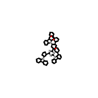 c1ccc(-c2cccc(-c3ccc(-c4nc(-c5cccc(-n6c7ccccc7c7ccccc76)c5)nc(-n5c6ccccc6c6cccc(-c7ccccc7)c65)n4)cc3-n3c4ccccc4c4ccccc43)c2)cc1